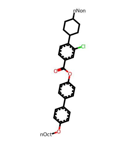 CCCCCCCCCC1CCC(c2ccc(C(=O)Oc3ccc(-c4ccc(OCCCCCCCC)cc4)cc3)cc2Cl)CC1